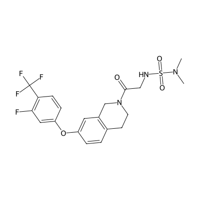 CN(C)S(=O)(=O)NCC(=O)N1CCc2ccc(Oc3ccc(C(F)(F)F)c(F)c3)cc2C1